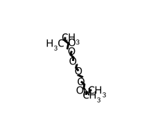 CC(C)C(=O)COCCOCCOCCOCC(=O)N(C)C